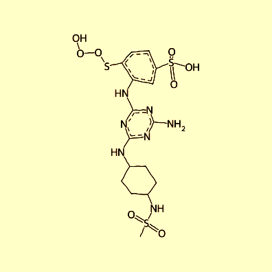 CS(=O)(=O)NC1CCC(Nc2nc(N)nc(Nc3cc(S(=O)(=O)O)ccc3SOOO)n2)CC1